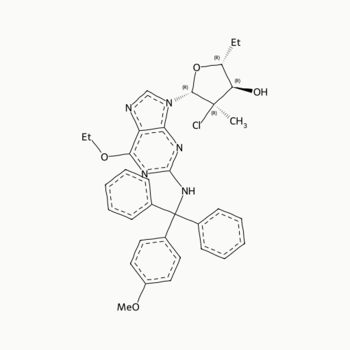 CCOc1nc(NC(c2ccccc2)(c2ccccc2)c2ccc(OC)cc2)nc2c1ncn2[C@@H]1O[C@H](CC)[C@@H](O)[C@@]1(C)Cl